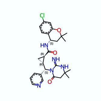 CC1(C)CC(=O)N([C@H](c2cccnc2)[C@@H]2C[C@H]2C(=O)N[C@H]2CC(C)(C)Oc3cc(Cl)ccc32)C(=N)N1